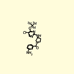 [2H]C([2H])([2H])Oc1nc(N[C@H]2CCN(C(=O)c3cccc(N)c3)C2)ncc1Cl